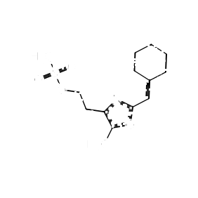 Cc1oc(C=C2CCCCC2)nc1CCOS(C)(=O)=O